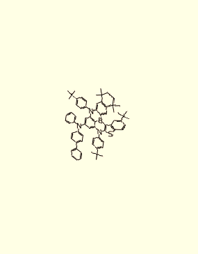 CC(C)(C)c1ccc(N2c3cc4c(cc3B3c5c2cc(N(c2ccccc2)c2ccc(-c6ccccc6)cc2)cc5N(c2ccc(C(C)(C)C)cc2)c2sc5ccc(C(C)(C)C)cc5c23)C(C)(C)CCC4(C)C)cc1